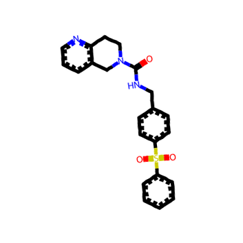 O=C(NCc1ccc(S(=O)(=O)c2ccccc2)cc1)N1CCc2ncccc2C1